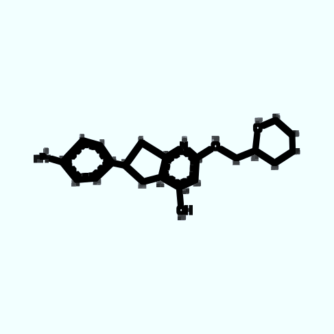 CCCc1ccc(C2Cc3nc(OCC4CCCCO4)cc(O)c3C2)cc1